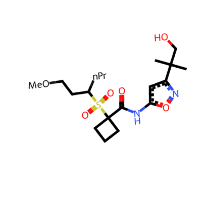 CCCC(CCOC)S(=O)(=O)C1(C(=O)Nc2cc(C(C)(C)CO)no2)CCC1